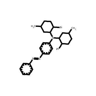 CC1CCC(C(C)C)C(N(c2ccc(N=Nc3ccccc3)cc2)C2CC(C)CCC2C(C)C)C1